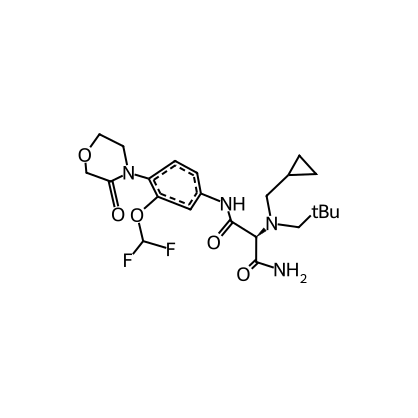 CC(C)(C)CN(CC1CC1)[C@@H](C(N)=O)C(=O)Nc1ccc(N2CCOCC2=O)c(OC(F)F)c1